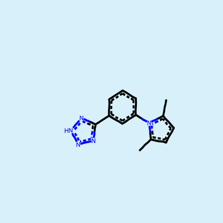 Cc1ccc(C)n1-c1cccc(-c2nn[nH]n2)c1